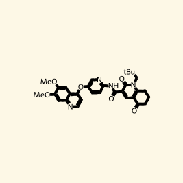 COc1cc2nccc(Oc3ccc(NC(=O)c4cc5c(n(CC(C)(C)C)c4=O)CCCC5=O)nc3)c2cc1OC